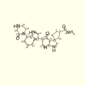 NC(=O)C1CCC2(CNc3ncc(-c4c[nH]c5c(N6CCNCC6=O)cccc45)c(Cl)c32)C1